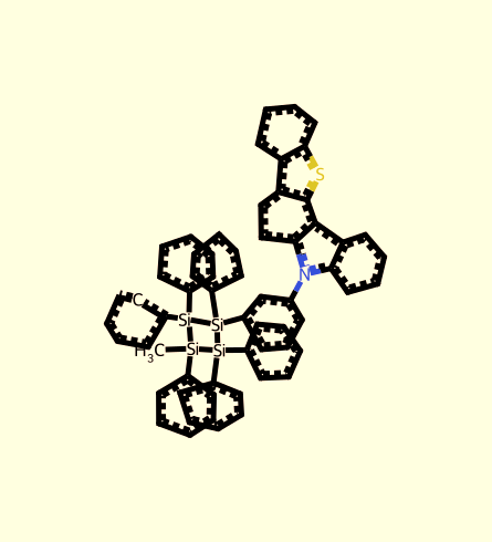 C[Si]1(c2ccccc2)[Si](c2ccccc2)(c2ccccc2)[Si](c2ccccc2)(c2cccc(-n3c4ccccc4c4c5sc6ccccc6c5ccc43)c2)[Si]1(c1ccccc1)c1ccccc1